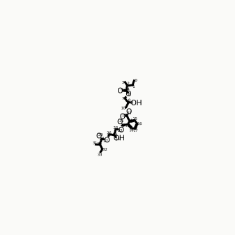 CCC(C)C(=O)OCC(O)COC(=O)c1ccccc1C(=O)OCC(O)COC(=O)C(C)CC